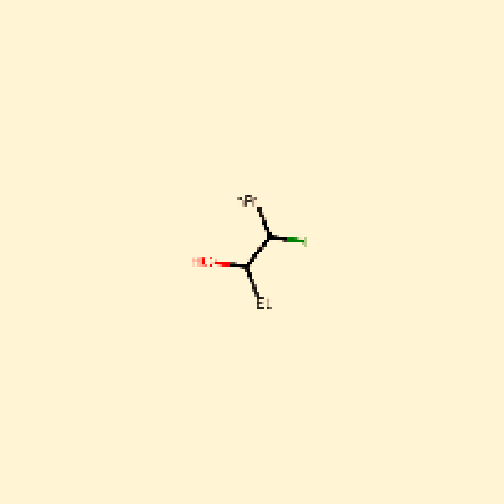 CCCC(F)[C](O)CC